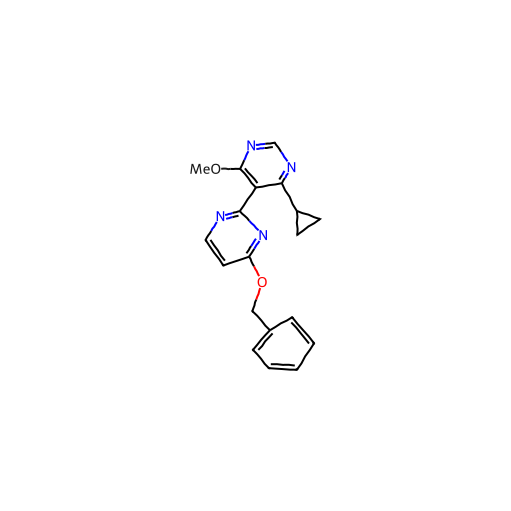 COc1ncnc(C2CC2)c1-c1nccc(OCc2ccccc2)n1